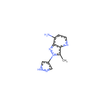 Cc1c2nccc(N)c2nn1-c1cn[nH]c1